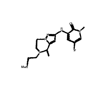 COCCN1CCn2nc(Nc3cc(Br)cn(C)c3=O)cc2C1C